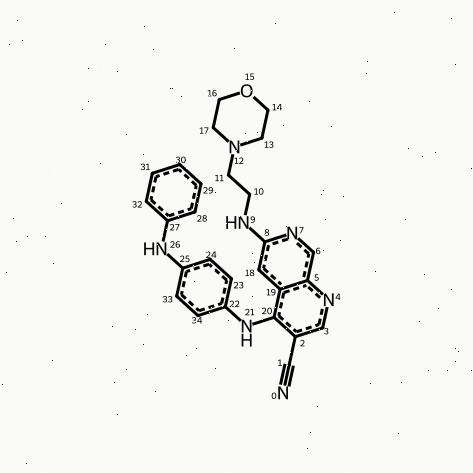 N#Cc1cnc2cnc(NCCN3CCOCC3)cc2c1Nc1ccc(Nc2ccccc2)cc1